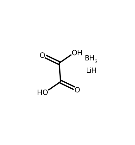 B.O=C(O)C(=O)O.[LiH]